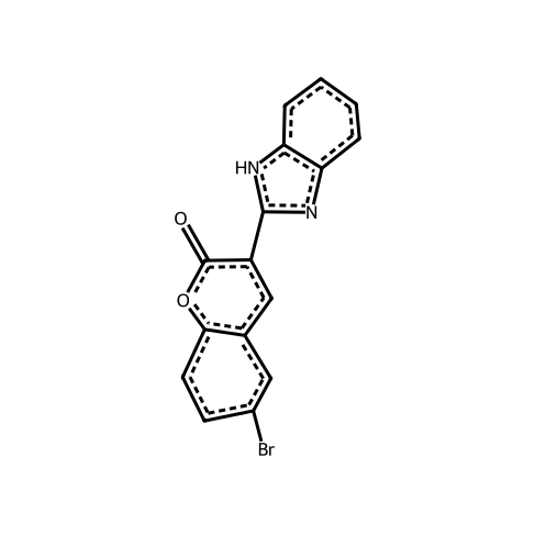 O=c1oc2ccc(Br)cc2cc1-c1nc2ccccc2[nH]1